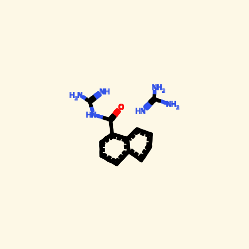 N=C(N)N.N=C(N)NC(=O)c1cccc2ccccc12